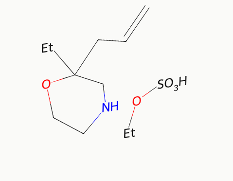 C=CCC1(CC)CNCCO1.CCOS(=O)(=O)O